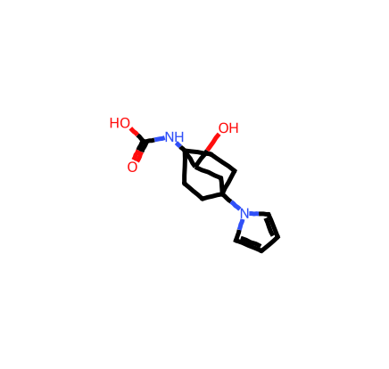 O=C(O)NC12CCC(n3cccc3)(CC1)CC2O